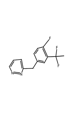 CC(F)(F)c1cc([CH]c2cccnn2)ccc1F